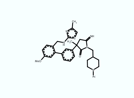 COc1ccc(CNc2nc(C)cs2)c(-c2cccc(C3(C)CC(=N)N(CC4CCN(C(C)=O)CC4)C3=O)c2)c1